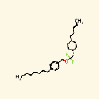 CC=CCC[C@H]1CC[C@H](CC(F)(F)OCc2ccc(CCCCCCC)cc2)CC1